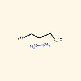 CCCCCCC=O.NN